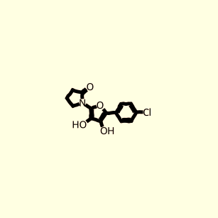 O=C1CCCN1c1oc(-c2ccc(Cl)cc2)c(O)c1O